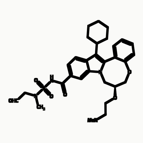 CNCCO[C@@H]1COc2ccccc2-c2c(C3CCCCC3)c3ccc(C(=O)NS(=O)(=O)N(C)CC=O)cc3n2C1